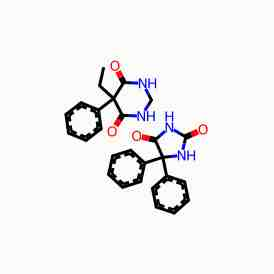 CCC1(c2ccccc2)C(=O)NCNC1=O.O=C1NC(=O)C(c2ccccc2)(c2ccccc2)N1